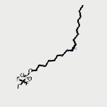 CCCCCCCC/C=C\CCCCCCCCOS(=O)(=O)C(F)(F)F